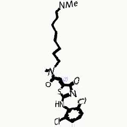 CNCCCCCCCCN(C)C(=O)/C=C1\SC(Nc2c(Cl)cccc2Cl)=NC1=O